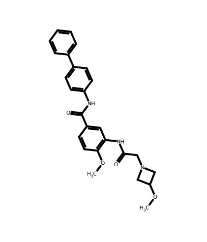 COc1ccc(C(=O)Nc2ccc(-c3ccccc3)cc2)cc1NC(=O)CN1CC(OC)C1